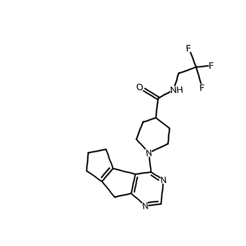 O=C(NCC(F)(F)F)C1CCN(c2ncnc3c2C2=C(CCC2)C3)CC1